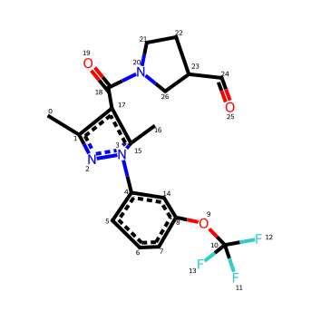 Cc1nn(-c2cccc(OC(F)(F)F)c2)c(C)c1C(=O)N1CCC(C=O)C1